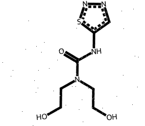 O=C(Nc1cnns1)N(CCO)CCO